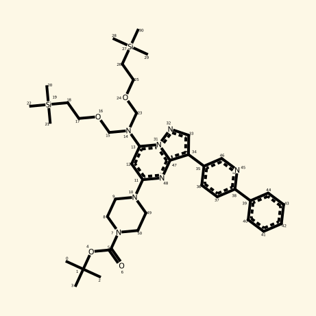 CC(C)(C)OC(=O)N1CCN(c2cc(N(COCC[Si](C)(C)C)COCC[Si](C)(C)C)n3ncc(-c4ccc(-c5ccccc5)nc4)c3n2)CC1